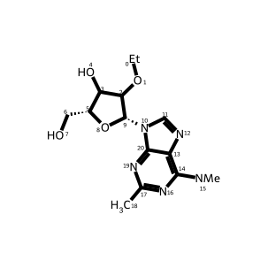 CCOC1C(O)[C@@H](CO)O[C@H]1n1cnc2c(NC)nc(C)nc21